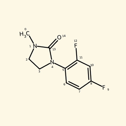 CN1CCN(c2ccc(F)cc2F)C1=O